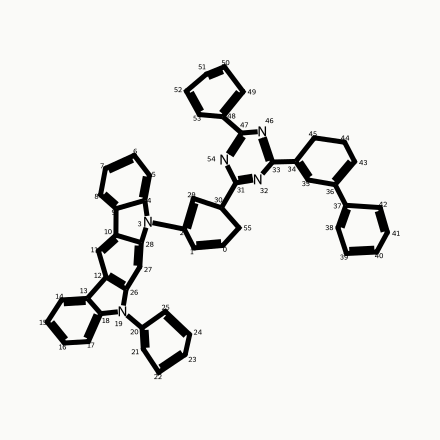 C1=CC(n2c3ccccc3c3cc4c5ccccc5n(-c5ccccc5)c4cc32)=CC(c2nc(C3=CC(c4ccccc4)=CCC3)nc(-c3ccccc3)n2)C1